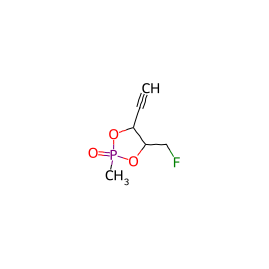 C#CC1OP(C)(=O)OC1CF